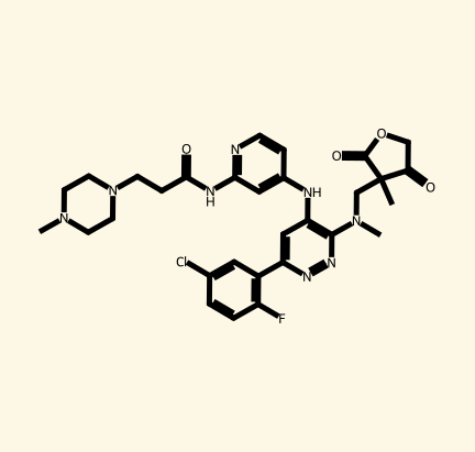 CN1CCN(CCC(=O)Nc2cc(Nc3cc(-c4cc(Cl)ccc4F)nnc3N(C)CC3(C)C(=O)COC3=O)ccn2)CC1